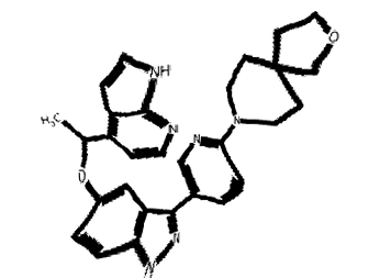 CC(Oc1ccc2[nH]nc(-c3ccc(N4CCC5(CCOC5)CC4)nc3)c2c1)c1ccnc2[nH]ccc12